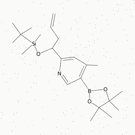 C=CCC(O[Si](C)(C)C(C)(C)C)c1cc(C)c(B2OC(C)(C)C(C)(C)O2)cn1